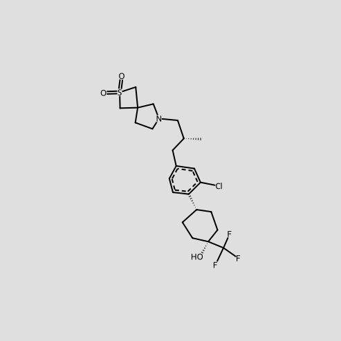 C[C@H](Cc1ccc([C@H]2CC[C@](O)(C(F)(F)F)CC2)c(Cl)c1)CN1CCC2(C1)CS(=O)(=O)C2